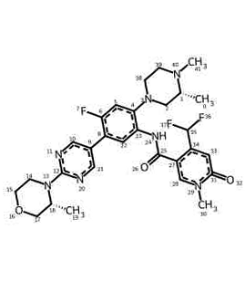 C[C@@H]1CN(c2cc(F)c(-c3cnc(N4CCOC[C@H]4C)nc3)cc2NC(=O)c2cn(C)c(=O)cc2C(F)F)CCN1C